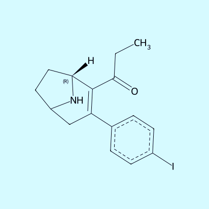 CCC(=O)C1=C(c2ccc(I)cc2)CC2CC[C@H]1N2